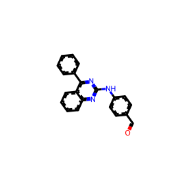 O=Cc1ccc(Nc2nc(-c3ccccc3)c3ccccc3n2)cc1